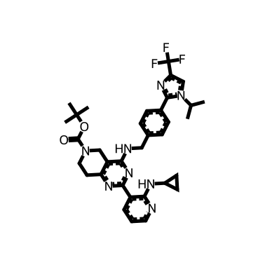 CC(C)n1cc(C(F)(F)F)nc1-c1ccc(CNc2nc(-c3cccnc3NC3CC3)nc3c2CN(C(=O)OC(C)(C)C)CC3)cc1